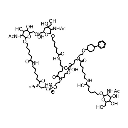 CCCN(CCOP(=O)(O)OCCN(CCOP(=O)(O)OCCN(CCOC1CCC(c2ccccc2)CC1)C(=O)CCCCCNC(O)CCCCCOC1OC(CO)C(O)C(O)C1NC(C)=O)C(=O)CCCCCNC(=O)CCCCCOC1OC(CO)CC(O)(CO)C1NC(C)=O)C(=O)CCCCCNC(=O)CCCCCOC1OC(CO)C(O)C(O)C1NC(C)=O